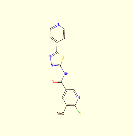 COc1cc(C(=O)Nc2nnc(-c3ccncc3)s2)cnc1Cl